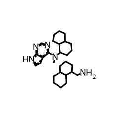 CN(c1ncnc2[nH]ccc12)C1CCCC2CCCCC21.NCC1CCCC2CCCCC12